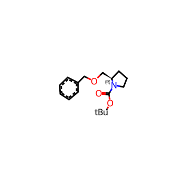 CC(C)(C)OC(=O)N1CCC[C@@H]1COCc1ccccc1